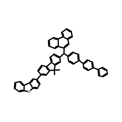 CC1(C)c2cc(-c3ccc4oc5ccccc5c4c3)ccc2-c2ccc(C(c3ccc(-c4ccc(-c5ccccc5)cc4)cc3)c3cc4ccccc4c4ccccc34)cc21